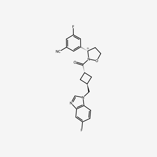 N#Cc1cc(F)cc([C@@H]2CCON2C(=O)[C@H]2C[C@H](Cn3cnc4cc(F)ccc43)C2)c1